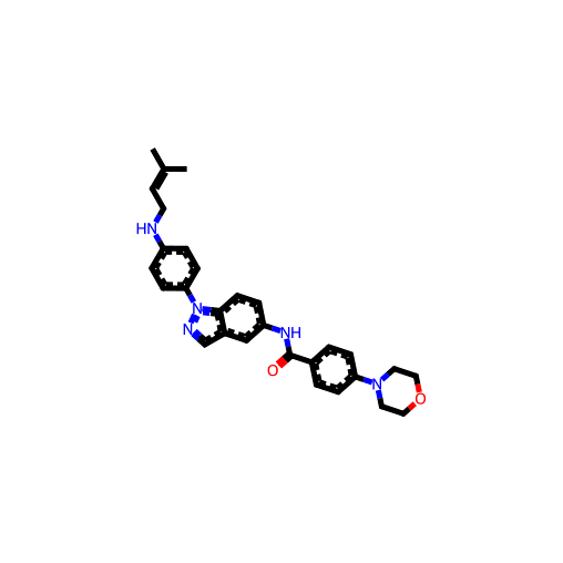 CC(C)=CCNc1ccc(-n2ncc3cc(NC(=O)c4ccc(N5CCOCC5)cc4)ccc32)cc1